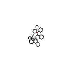 COc1ccc(C(C)(C(=O)O)C(c2cc3ccccc3c3ccccc23)c2cc3ccccc3c3ccccc23)cc1